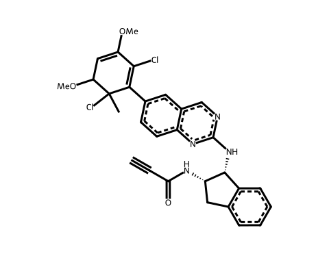 C#CC(=O)N[C@H]1Cc2ccccc2[C@H]1Nc1ncc2cc(C3=C(Cl)C(OC)=CC(OC)C3(C)Cl)ccc2n1